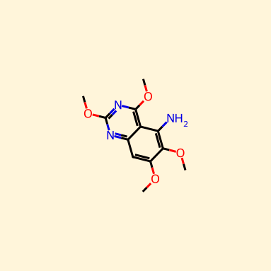 COc1nc(OC)c2c(N)c(OC)c(OC)cc2n1